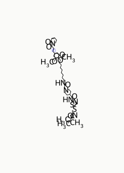 COc1cc(/C=C/C(=O)N2CCC=CC2=O)cc(OC)c1OCCCCCCCCNC(=O)CN1CCC(C(=O)Nc2ncc(SCc3ncc(C(C)(C)C)o3)s2)CC1